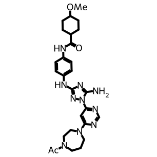 COC1CCC(C(=O)Nc2ccc(Nc3nc(N)n(-c4cc(N5CCCN(C(C)=O)CC5)ncn4)n3)cc2)CC1